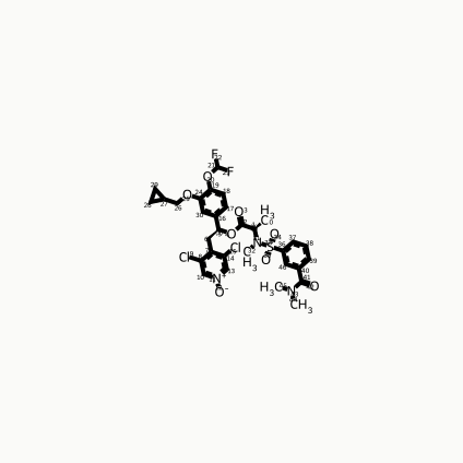 C[C@H](C(=O)O[C@@H](Cc1c(Cl)c[n+]([O-])cc1Cl)c1ccc(OC(F)F)c(OCC2CC2)c1)N(C)S(=O)(=O)c1cccc(C(=O)N(C)C)c1